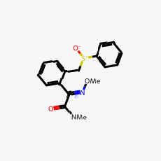 CNC(=O)/C(=N/OC)c1ccccc1C[S+]([O-])c1ccccc1